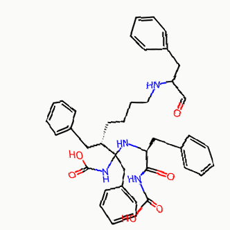 O=CC(Cc1ccccc1)NCCCC[C@@H](Cc1ccccc1)C(Cc1ccccc1)(NC(=O)O)N[C@@H](Cc1ccccc1)C(=O)NC(=O)O